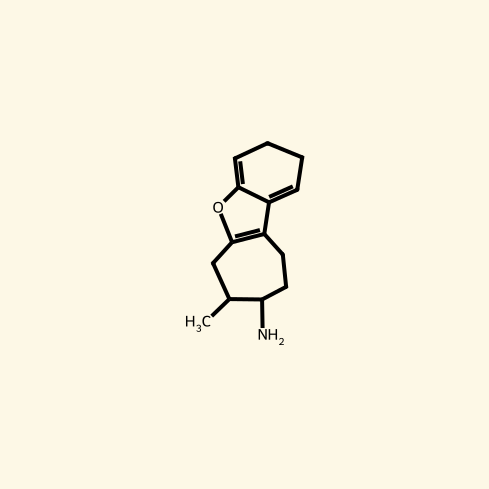 CC1Cc2oc3c(c2CCC1N)=CCCC=3